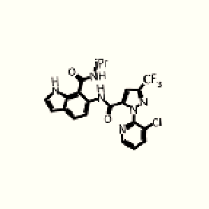 CC(C)NC(=O)c1c(NC(=O)c2cc(C(F)(F)F)nn2-c2ncccc2Cl)ccc2cc[nH]c12